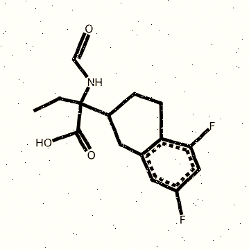 CCC(NC=O)(C(=O)O)C1CCc2c(F)cc(F)cc2C1